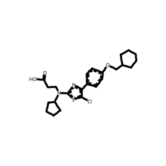 O=C(O)CCN(c1nc(-c2ccc(OCC3CCCCC3)cc2)c(Cl)s1)C1CCCC1